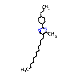 CCCCCCCCCCCCc1cnc(C2CCC(CCC)CC2)nc1C